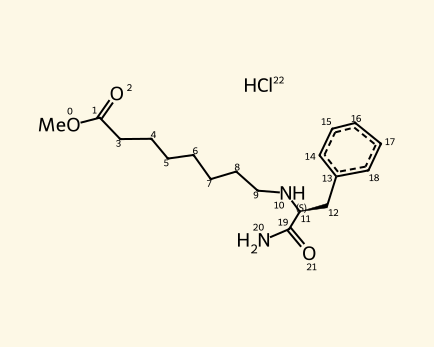 COC(=O)CCCCCCCN[C@@H](Cc1ccccc1)C(N)=O.Cl